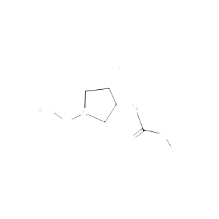 C[C@H]1CN(OC=O)C[C@H]1NC(=O)OC(C)(C)C